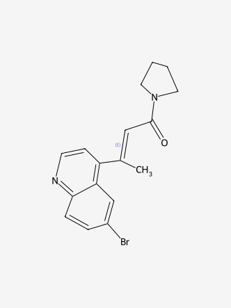 C/C(=C\C(=O)N1CCCC1)c1ccnc2ccc(Br)cc12